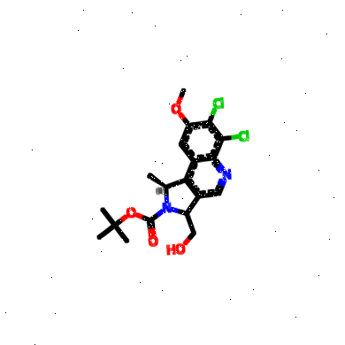 COc1cc2c3c(cnc2c(Cl)c1Cl)C(CO)N(C(=O)OC(C)(C)C)[C@H]3C